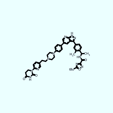 Cc1cc(-c2n[nH]c3ncc(-c4ccc(N5CCN(CCc6ccc(N7CCC(=O)NC7=O)nc6)CC5)cc4)cc23)ccc1C(C)NC(=O)c1noc(C(C)(C)C)n1